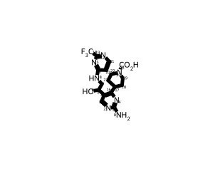 Nc1ncc(C(O)CNc2ccnc(C(F)(F)F)n2)c(C2CCN(C(=O)O)CC2)n1